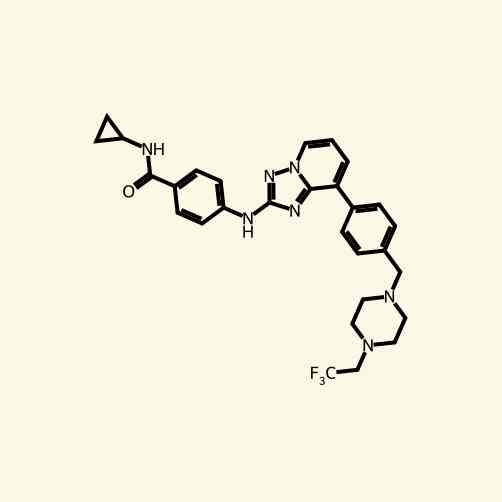 O=C(NC1CC1)c1ccc(Nc2nc3c(-c4ccc(CN5CCN(CC(F)(F)F)CC5)cc4)cccn3n2)cc1